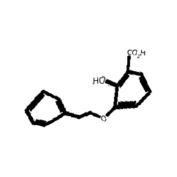 O=C(O)c1cccc(OCCc2ccccc2)c1O